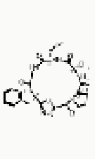 CCC1c2nnc(o2)[C@H](Cc2ccccc2)NC(=O)CNC(=O)[C@H](CC(C)C)NC(=O)[C@H](C)NC(=O)[C@@H]2CCCN12